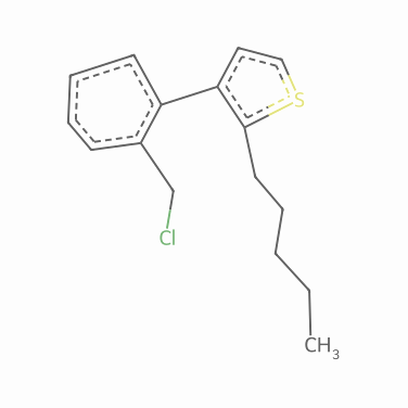 CCCCCc1sccc1-c1ccccc1CCl